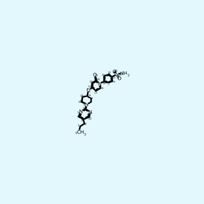 CCCc1cnc(N2CCC(Oc3ccn(-c4ccc(S(N)(=O)=O)cc4)c(=O)c3)CC2)nc1